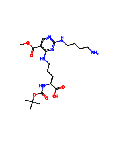 COC(=O)c1cnc(NCCCCN)nc1NCCC[C@H](NC(=O)OC(C)(C)C)C(=O)O